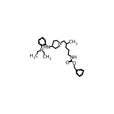 CCN(CC)c1ccccc1NC1CCN(CC(C)CCCNC(=O)OCc2ccccc2)CC1